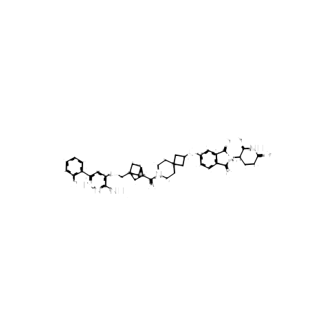 Nc1nnc(-c2ccccc2O)cc1OCC12CC(C1)C(C(=O)N1CCC3(CC1)CC(Oc1ccc4c(c1)C(=O)N(C1CCC(=O)NC1=O)C4=O)C3)C2